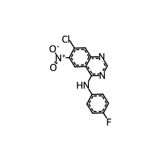 O=[N+]([O-])c1cc2c(Nc3ccc(F)cc3)ncnc2cc1Cl